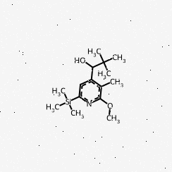 COc1nc([Si](C)(C)C)cc(C(O)C(C)(C)C)c1C